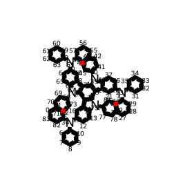 c1ccc(N(c2ccccc2)c2ccc3c(c2)c2c(c4c5cc(N(c6ccccc6)c6ccccc6)ccc5n(-c5ccccc5)c4c4c5cc(N(c6ccccc6)c6ccccc6)ccc5n(-c5ccccc5)c24)n3-c2ccccc2)cc1